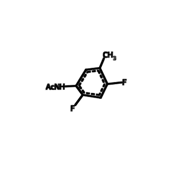 CC(=O)Nc1cc(C)c(F)cc1F